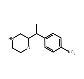 CC(c1ccc([N+](=O)[O-])cc1)C1CNCCO1